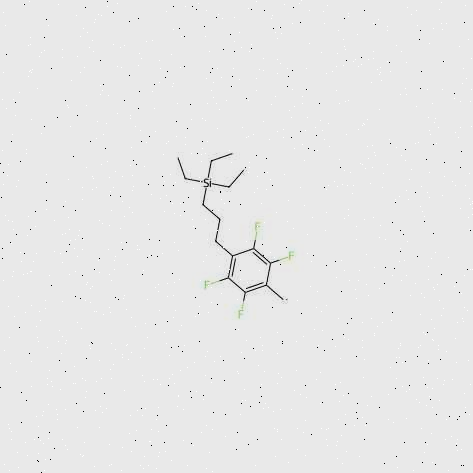 [CH2]c1c(F)c(F)c(CCC[Si](CC)(CC)CC)c(F)c1F